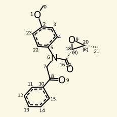 COc1ccc(N(CC(=O)c2ccccc2)C(=O)[C@@H]2O[C@@H]2C)cc1